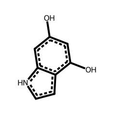 Oc1cc(O)c2cc[nH]c2c1